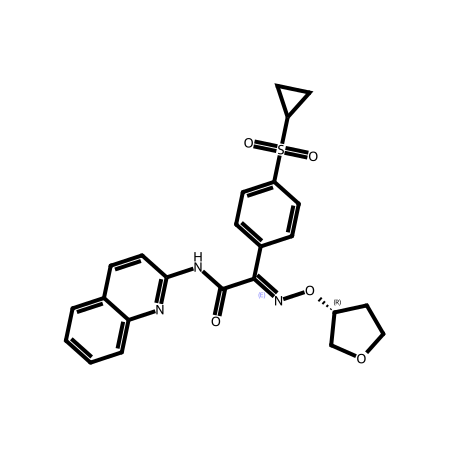 O=C(Nc1ccc2ccccc2n1)/C(=N/O[C@@H]1CCOC1)c1ccc(S(=O)(=O)C2CC2)cc1